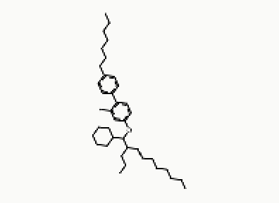 CCCCCCCCC(CCC)C(Oc1ccc(-c2ccc(CCCCCCC)cc2)c(F)c1)C1CCCCC1